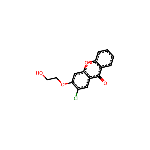 O=c1c2ccccc2oc2cc(OCCO)c(Cl)cc12